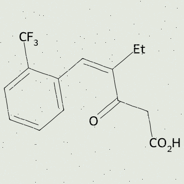 CCC(=Cc1ccccc1C(F)(F)F)C(=O)CC(=O)O